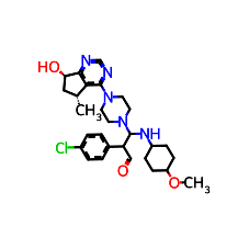 COC1CCC(NC(C(C=O)c2ccc(Cl)cc2)N2CCN(c3ncnc4c3[C@H](C)C[C@H]4O)CC2)CC1